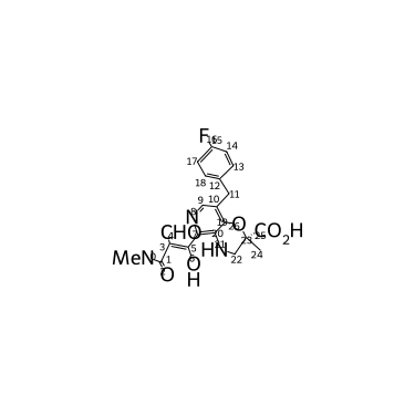 CNC(=O)/C(C=O)=C(\O)c1ncc(Cc2ccc(F)cc2)c2c1NC[C@@](C)(C(=O)O)O2